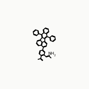 C=C(C)c1ccc(-c2ccc3c4c(cccc24)-c2c-3c(-c3ccccc3)c3ccccc3c2-c2ccccc2)cc1/C=C(/C)N